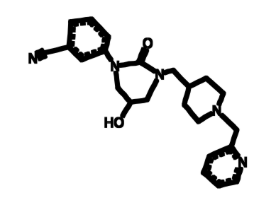 N#Cc1cccc(N2CC(O)CN(CC3CCN(Cc4ccccn4)CC3)C2=O)c1